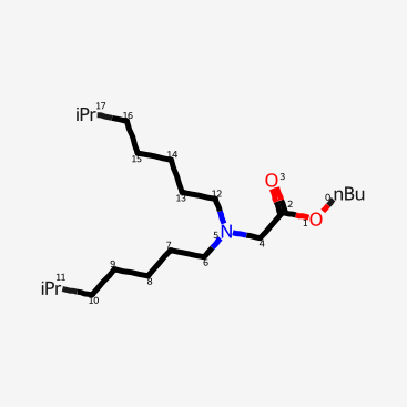 CCCCOC(=O)CN(CCCCCC(C)C)CCCCCC(C)C